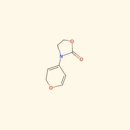 O=C1OCCN1C1=CCOC=C1